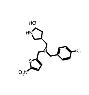 Cl.O=[N+]([O-])c1ccc(CN(Cc2ccc(Cl)cc2)C[C@@H]2CCNC2)s1